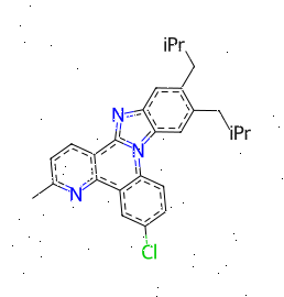 Cc1ccc2c(n1)c1cc(Cl)ccc1n1c3cc(CC(C)C)c(CC(C)C)cc3nc21